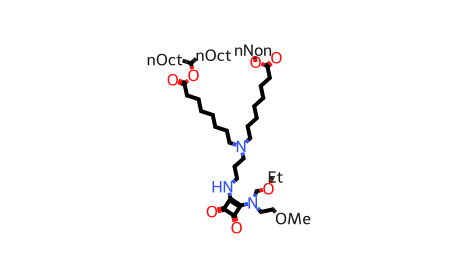 CCCCCCCCCOC(=O)CCCCCCCN(CCCCCCCC(=O)OC(CCCCCCCC)CCCCCCCC)CCCNc1c(N(CCOC)COCC)c(=O)c1=O